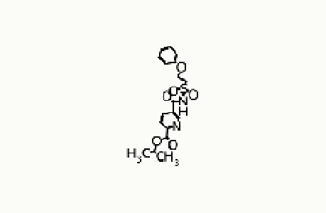 CC(C)OC(=O)c1ccc(C(=O)NS(=O)(=O)CCOc2ccccc2)cn1